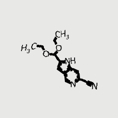 CCOC(OCC)c1cc2cnc(C#N)cc2[nH]1